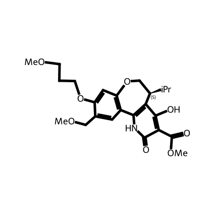 COCCCOc1cc2c(cc1COC)-c1[nH]c(=O)c(C(=O)OC)c(O)c1[C@H](C(C)C)CO2